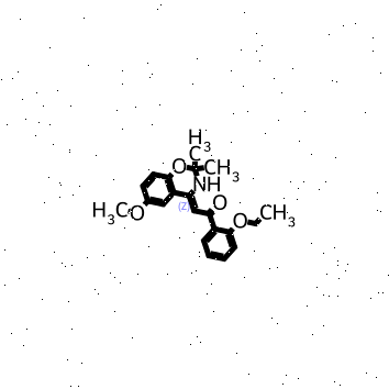 CCOc1ccccc1C(=O)/C=C1\NC(C)(C)Oc2ccc(OC)cc21